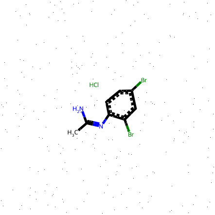 CC(N)=Nc1ccc(Br)cc1Br.Cl